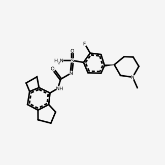 CN1CCC[C@H](c2ccc(S(N)(=O)=NC(=O)Nc3c4c(cc5c3CC5)CCC4)c(F)c2)C1